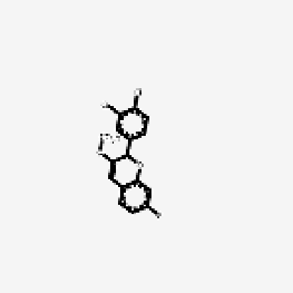 O=C(O)OC1=Cc2ccc(F)cc2OC1c1ccc(Cl)c(Cl)c1